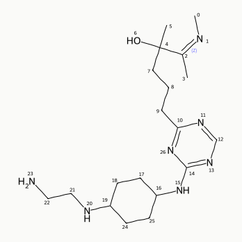 C/N=C(/C)C(C)(O)CCCc1ncnc(NC2CCC(NCCN)CC2)n1